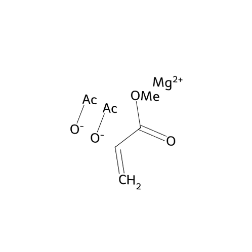 C=CC(=O)OC.CC(=O)[O-].CC(=O)[O-].[Mg+2]